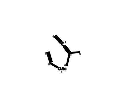 C=C=C(C)C.C=COC(C)=O